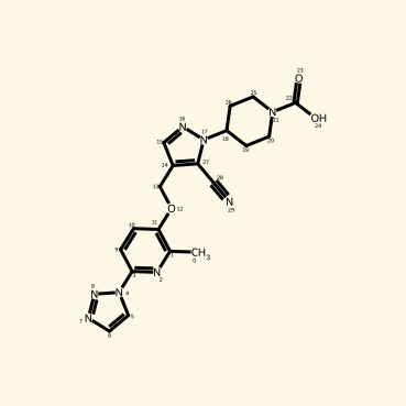 Cc1nc(-n2ccnn2)ccc1OCc1cnn(C2CCN(C(=O)O)CC2)c1C#N